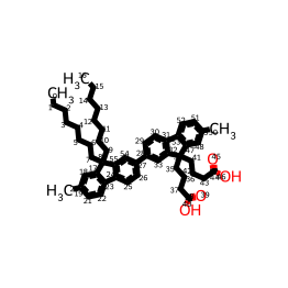 CCCCCCCCC1(CCCCCCCC)c2cc(C)ccc2-c2ccc(-c3ccc4c(c3)C(CCCC(=O)O)(CCCC(=O)O)c3cc(C)ccc3-4)cc21